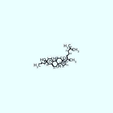 C=CCC1(O)CC[C@@]2(C)C(=CC[C@H]3[C@@H]4CC[C@H]([C@H](C)CCCC(C)C)[C@@]4(C)CC[C@@H]32)C1